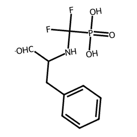 O=[C]C(Cc1ccccc1)NC(F)(F)P(=O)(O)O